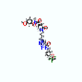 COc1ccc2c(c1)ON(C(=O)c1ccn(CCCCn3cc(C(=O)NCc4cccc(OC(F)(F)F)c4)nn3)c(=O)c1)C2